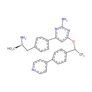 Nc1nc(OC(c2ccc(-c3ccncc3)cc2)C(F)(F)F)cc(-c2ccc(C[C@H](N)C(=O)O)cc2)n1